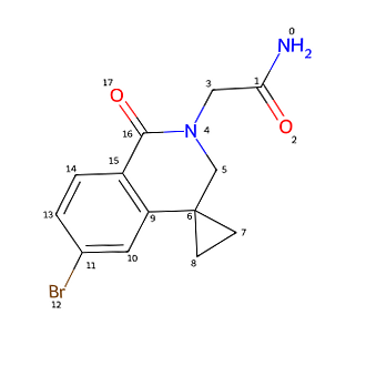 NC(=O)CN1CC2(CC2)c2cc(Br)ccc2C1=O